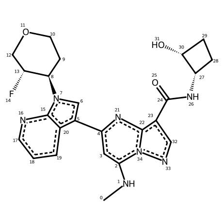 CNc1cc(-c2cn([C@@H]3CCOC[C@H]3F)c3ncccc23)nc2c(C(=O)N[C@H]3CC[C@H]3O)cnn12